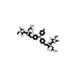 CCN1C(=O)/C(=c2\s/c(=C\c3ccc(N(c4ccc(C)cc4)c4ccc(/C=c5/s/c(=C6/SC(=S)N(CC)C6=O)n(CC(=O)O)c5=O)cc4)cc3)c(=O)n2CC(=O)O)SC1=S